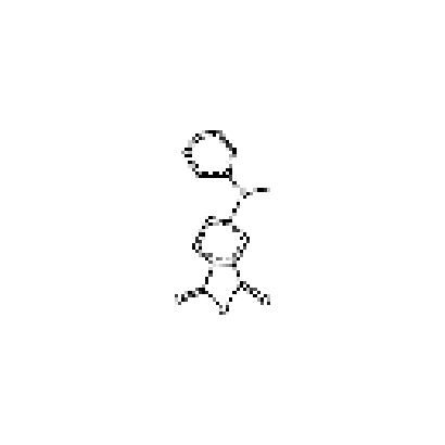 CN(c1ccccc1)c1ccc2c(c1)C(=O)OC2=O